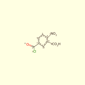 O=C(Cl)c1ccc([N+](=O)[O-])c(C(=O)O)c1